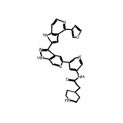 O=C(CC1CCNCC1)Nc1cncc(-c2cc3c(-c4cc5c(-c6ccoc6)nccc5[nH]4)n[nH]c3cn2)c1